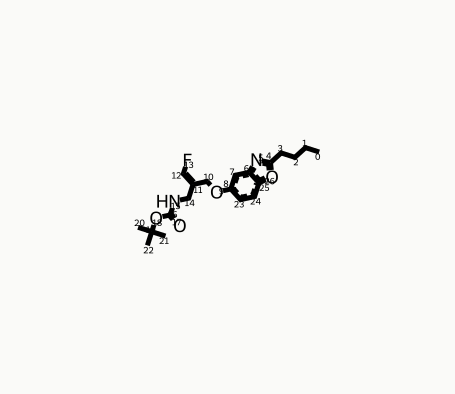 CCCCc1nc2cc(OC/C(=C\F)CNC(=O)OC(C)(C)C)ccc2o1